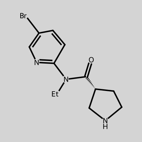 CCN(C(=O)[C@@H]1CCNC1)c1ccc(Br)cn1